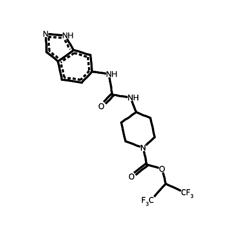 O=C(Nc1ccc2cn[nH]c2c1)NC1CCN(C(=O)OC(C(F)(F)F)C(F)(F)F)CC1